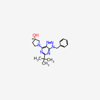 CC(C)(C)c1nc(N2CC[C@@H](O)C2)c2nnn(Cc3ccccc3)c2n1